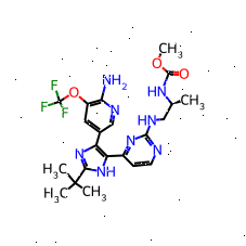 COC(=O)N[C@@H](C)CNc1nccc(-c2[nH]c(C(C)(C)C)nc2-c2cnc(N)c(OC(F)(F)F)c2)n1